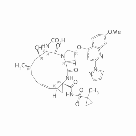 COc1ccc2c(O[C@@H]3C[C@H]4C(=O)N[C@]5(C(=O)NS(=O)(=O)C6(C)CC6)C[C@H]5C=CCC[C@@H](C)C[C@@H](C)[C@H](NC(=O)O)C(=O)N4C3)cc(-n3cccn3)nc2c1